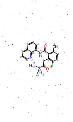 Cc1ccc(F)c(CC(=O)N(C)C)c1C(=O)Nc1cccc2cccnc12